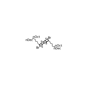 CCCCCCCCCCC(CCCCCCCC)CCCCc1c(Br)sc2c1sc1c3sc(Br)c(CCCCC(CCCCCCCC)CCCCCCCCCC)c3sc21